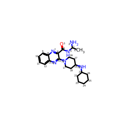 CC(N)NC(=O)c1nc2ccccc2nc1N1CCC(NC2CCCCC2)CC1